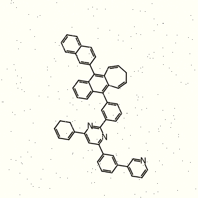 C1=CCCC(c2cc(-c3cccc(-c4cccnc4)c3)nc(-c3cccc(-c4c5c(c(-c6ccc7ccccc7c6)c6ccccc46)C=CCC=C5)c3)n2)=C1